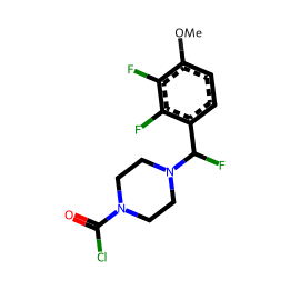 COc1ccc(C(F)N2CCN(C(=O)Cl)CC2)c(F)c1F